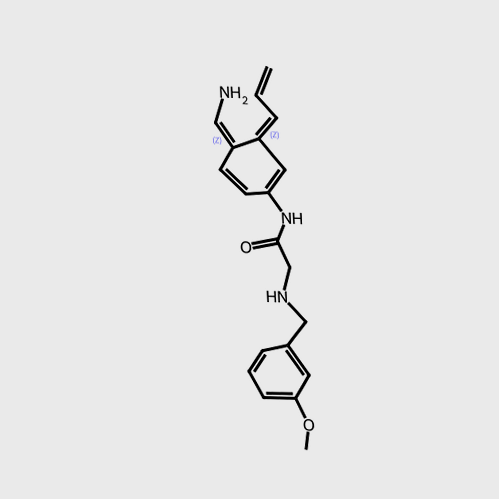 C=C/C=c1/cc(NC(=O)CNCc2cccc(OC)c2)cc/c1=C/N